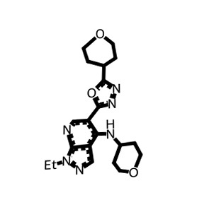 CCn1ncc2c(NC3CCOCC3)c(-c3nnc(C4CCOCC4)o3)cnc21